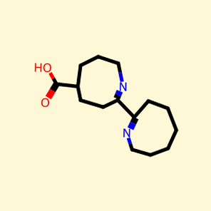 O=C(O)C1CCCN=C(C2=NCCCCCC2)CC1